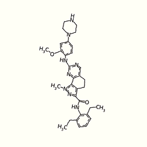 CCc1cccc(CC)c1NC(=O)c1nn(C)c2c1CCc1cnc(Nc3ccc(N4CCNCC4)cc3OC)nc1-2